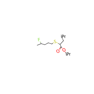 CC(C)CC(SCCCC(C)F)C(=O)OC(C)C